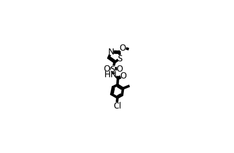 COc1ncc(S(=O)(=O)NC(=O)c2ccc(Cl)cc2C)s1